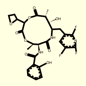 C[C@H]1OC(=O)C(C2CCO2)OC(=O)[C@H](C)[C@H](O)C(Cc2cc(F)c(F)nc2F)NC(=O)[C@H]1NC(=O)c1ccccc1O